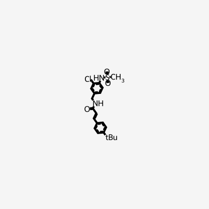 CC(C)(C)c1ccc(/C=C/C(=O)NCc2ccc(NS(C)(=O)=O)c(Cl)c2)cc1